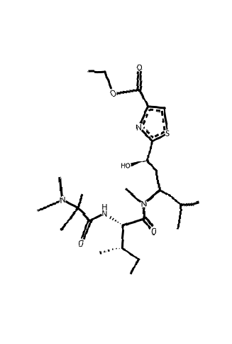 CCOC(=O)c1csc([C@H](O)CC(C(C)C)N(C)C(=O)[C@@H](NC(=O)C(C)(C)N(C)C)[C@@H](C)CC)n1